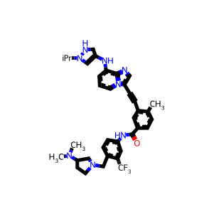 Cc1ccc(C(=O)Nc2ccc(CN3CCC(N(C)C)C3)c(C(F)(F)F)c2)cc1C#Cc1cnc2c(NC3=CN(C(C)C)NC3)cccn12